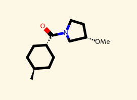 CO[C@H]1CCN(C(=O)[C@H]2CC[C@H](C)CC2)C1